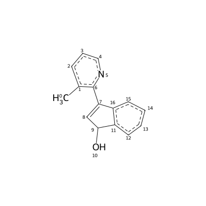 Cc1cccnc1C1=CC(O)c2ccccc21